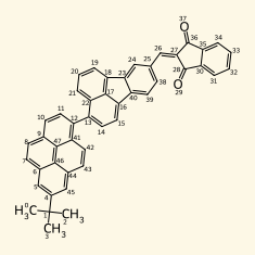 CC(C)(C)c1cc2ccc3ccc(-c4ccc5c6c(cccc46)-c4cc(C=C6C(=O)c7ccccc7C6=O)ccc4-5)c4ccc(c1)c2c34